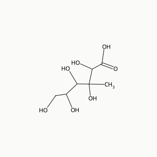 CC(O)(C(O)C(=O)O)C(O)C(O)CO